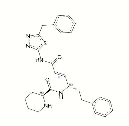 O=C(/C=C/[C@H](CCc1ccccc1)NC(=O)[C@@H]1CCCCN1)Nc1nnc(Cc2ccccc2)s1